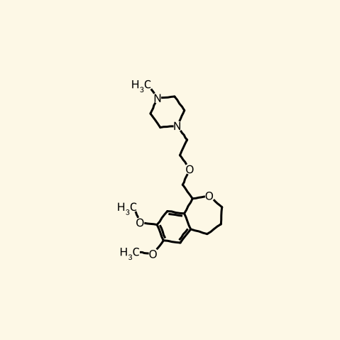 COc1cc2c(cc1OC)C(COCCN1CCN(C)CC1)OCCC2